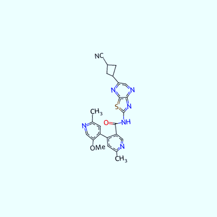 COc1cnc(C)cc1-c1cc(C)ncc1C(=O)Nc1nc2ncc(C3CC(C#N)C3)nc2s1